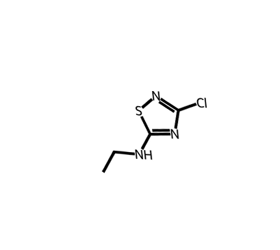 CCNc1nc(Cl)ns1